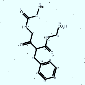 CC(C)(C)OC(=O)NCC(=O)C(Cc1ccccc1)C(=O)NCC(=O)O